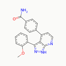 COc1ccccc1-c1n[nH]c2nccc(-c3ccc(C(N)=O)cc3)c12